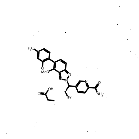 CCC(=O)O.COc1c(-c2ccc(C(F)(F)F)cc2Cl)ccc2nn(C(CC(C)C)c3ccc(C(N)=O)nc3)cc12